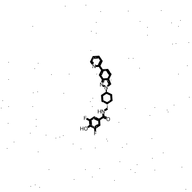 O=C(NC[C@H]1CC[C@H](n2cc3ccc(-c4ccccn4)cc3n2)CC1)c1cc(F)c(O)c(F)c1